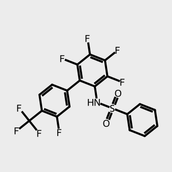 O=S(=O)(Nc1c(F)c(F)c(F)c(F)c1-c1ccc(C(F)(F)F)c(F)c1)c1ccccc1